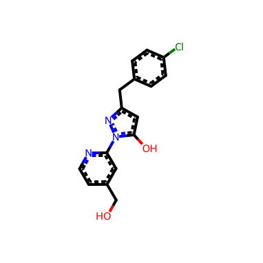 OCc1ccnc(-n2nc(Cc3ccc(Cl)cc3)cc2O)c1